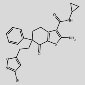 Nc1sc2c(c1C(=O)NC1CC1)CCC(CCc1cc(Br)no1)(c1ccccc1)C2=O